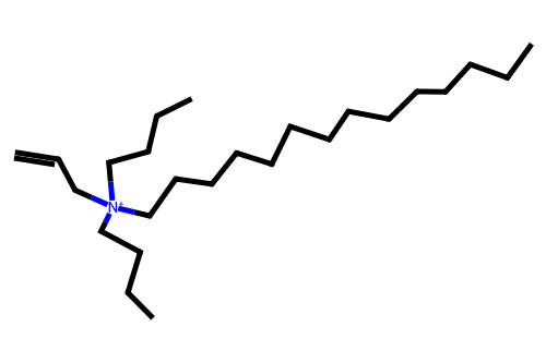 C=CC[N+](CCCC)(CCCC)CCCCCCCCCCCCCC